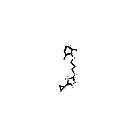 Cc1c[c]cc(C)c1OCCCSc1nnc(C2CC2)[nH]1